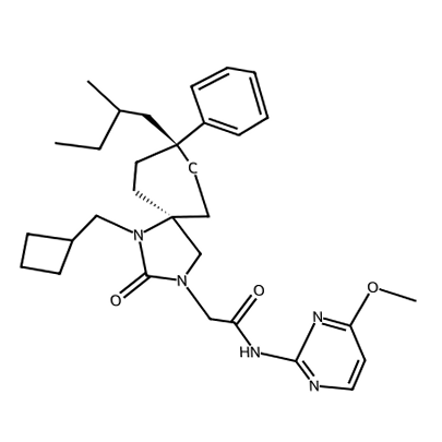 CCC(C)C[C@]1(c2ccccc2)CC[C@]2(CC1)CN(CC(=O)Nc1nccc(OC)n1)C(=O)N2CC1CCC1